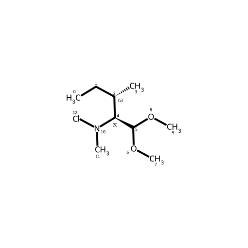 CC[C@H](C)[C@@H](C(OC)OC)N(C)Cl